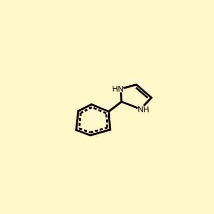 C1=CNC(c2ccccc2)N1